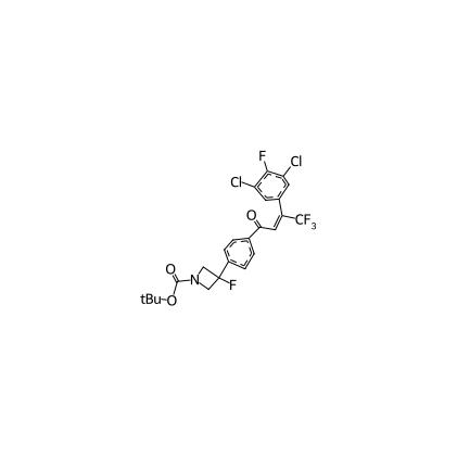 CC(C)(C)OC(=O)N1CC(F)(c2ccc(C(=O)C=C(c3cc(Cl)c(F)c(Cl)c3)C(F)(F)F)cc2)C1